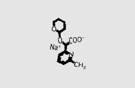 Cc1cccc(C(OC2CCCCO2)C(=O)[O-])n1.[Na+]